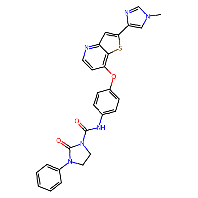 Cn1cnc(-c2cc3nccc(Oc4ccc(NC(=O)N5CCN(c6ccccc6)C5=O)cc4)c3s2)c1